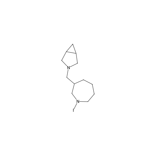 IN1CCCCC(CN2CC3CC3C2)C1